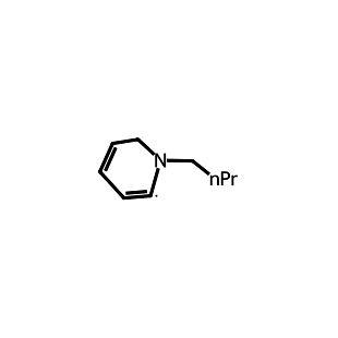 CCCCN1[C]=CC=CC1